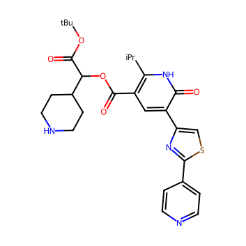 CC(C)c1[nH]c(=O)c(-c2csc(-c3ccncc3)n2)cc1C(=O)OC(C(=O)OC(C)(C)C)C1CCNCC1